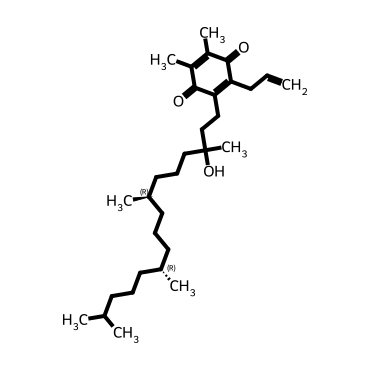 C=CCC1=C(CCC(C)(O)CCC[C@H](C)CCC[C@H](C)CCCC(C)C)C(=O)C(C)=C(C)C1=O